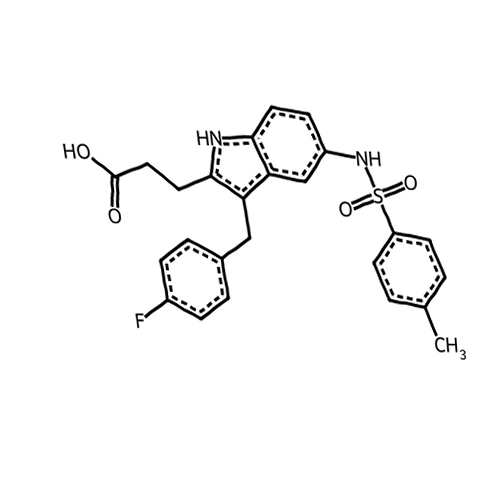 Cc1ccc(S(=O)(=O)Nc2ccc3[nH]c(CCC(=O)O)c(Cc4ccc(F)cc4)c3c2)cc1